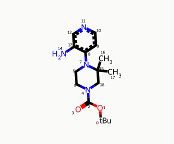 CC(C)(C)OC(=O)N1CCN(c2ccncc2N)C(C)(C)C1